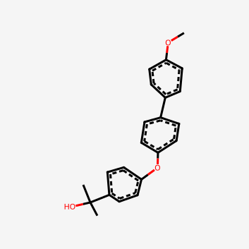 COc1ccc(-c2ccc(Oc3ccc(C(C)(C)O)cc3)cc2)cc1